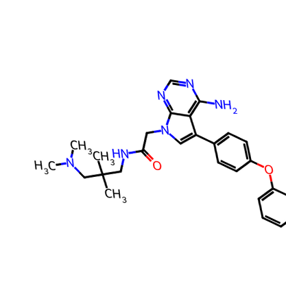 CN(C)CC(C)(C)CNC(=O)Cn1cc(-c2ccc(Oc3ccccc3)cc2)c2c(N)ncnc21